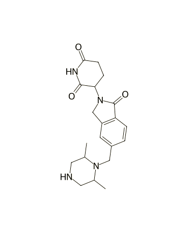 CC1CNCC(C)N1Cc1ccc2c(c1)CN(C1CCC(=O)NC1=O)C2=O